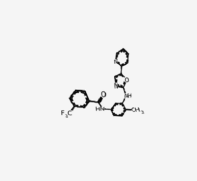 Cc1ccc(NC(=O)c2cccc(C(F)(F)F)c2)cc1Nc1ncc(-c2ccccn2)o1